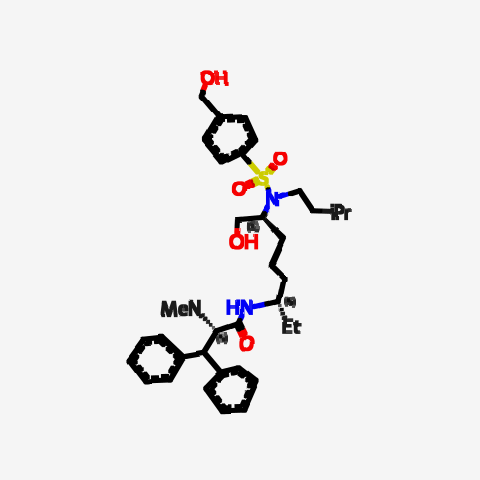 CC[C@@H](CCC[C@@H](CO)N(CCC(C)C)S(=O)(=O)c1ccc(CO)cc1)NC(=O)[C@@H](NC)C(c1ccccc1)c1ccccc1